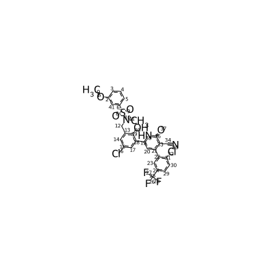 COc1cccc(S(=O)(=O)N(C)Cc2cc(Cl)cc(-c3cc(-c4cc(C(F)(F)F)ccc4Cl)c(C#N)c(=O)[nH]3)c2O)c1